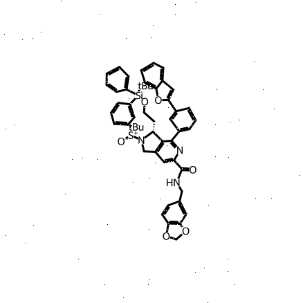 CC(C)(C)[S@@+]([O-])N1Cc2cc(C(=O)NCc3ccc4c(c3)OCO4)nc(-c3cccc(-c4cc5ccccc5o4)c3)c2[C@H]1CCO[Si](c1ccccc1)(c1ccccc1)C(C)(C)C